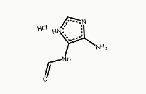 Cl.Nc1nc[nH]c1NC=O